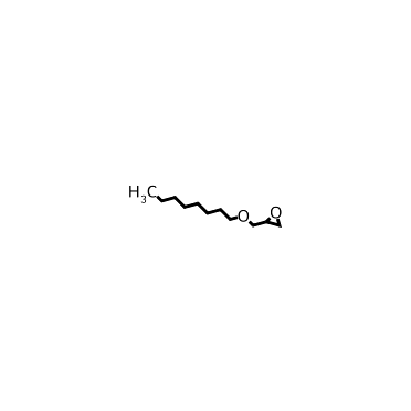 CCCCCCCCOCC1CO1